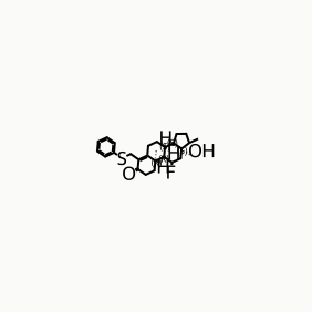 CC1(O)CC[C@H]2[C@@H]3CCC4=C(CSc5ccccc5)C(=O)CC[C@]4(C)[C@@H]3C(F)C[C@@]21C